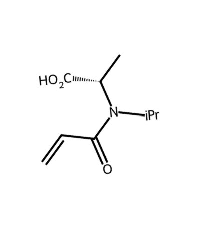 C=CC(=O)N(C(C)C)[C@@H](C)C(=O)O